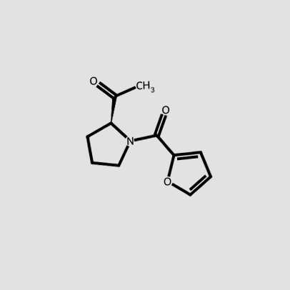 CC(=O)[C@@H]1CCCN1C(=O)c1ccco1